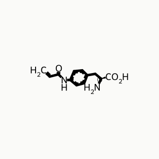 C=CC(=O)Nc1ccc(C[C@H](N)C(=O)O)cc1